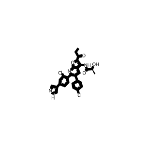 CCC(=O)c1oc2nc(-c3ccc(-c4cn[nH]c4)cc3Cl)c(-c3ccc(Cl)cc3)cc2c1NC(=O)[C@H](C)O